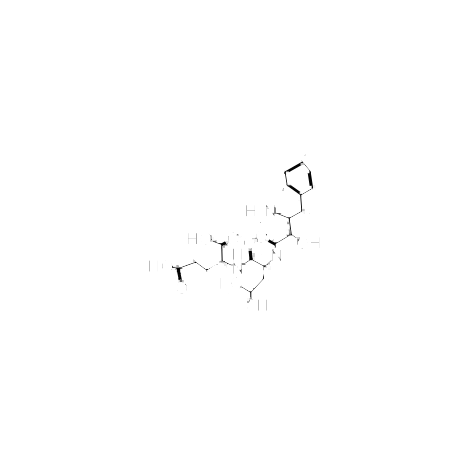 CC(C)C[C@H](NC(=O)C(O)C(N)Cc1ccccc1)C(=O)N[C@@H](CCC(=O)O)C(=O)O